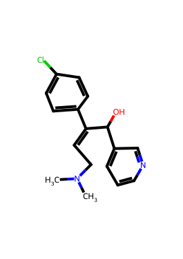 CN(C)CC=C(c1ccc(Cl)cc1)C(O)c1cccnc1